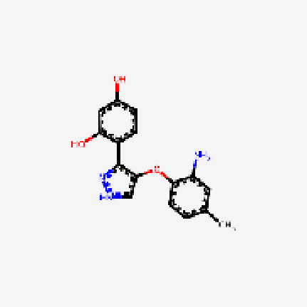 Cc1ccc(Oc2c[nH]nc2-c2ccc(O)cc2O)c(N)c1